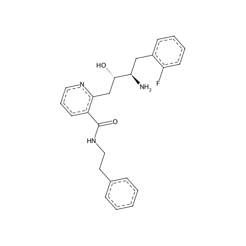 N[C@H](Cc1ccccc1F)[C@@H](O)Cc1ncccc1C(=O)NCCc1ccccc1